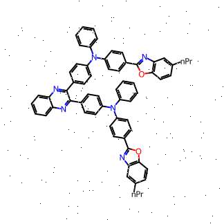 CCCc1ccc2oc(-c3ccc(N(c4ccccc4)c4ccc(-c5nc6ccccc6nc5-c5ccc(N(c6ccccc6)c6ccc(-c7nc8cc(CCC)ccc8o7)cc6)cc5)cc4)cc3)nc2c1